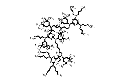 CCCCN(CCCC)c1nc(N(CCCC)CCCC)nc(N(CCCCCCCN(C2CC(C)(C)NC(C)(C)C2)C(C)(CC)c2nc(N(CCCC)C3CC(C)(C)NC(C)(C)C3)nc(N(CCCCCCN(C3CC(C)(C)NC(C)(C)C3)C(C)(CC)c3nc(N(CCCC)CCCC)nc(N(CCCC)CCCC)n3)C3CC(C)(C)NC(C)(C)C3)n2)C2CC(C)(C)NC(C)(C)C2)n1